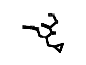 CC(C)(C)OC(=O)N[C@@H](CN=[N+]=[N-])CC1CC1